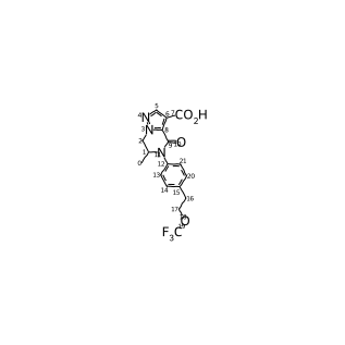 CC1Cn2ncc(C(=O)O)c2C(=O)N1c1ccc(CCOC(F)(F)F)cc1